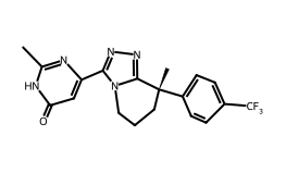 Cc1nc(-c2nnc3n2CCC[C@@]3(C)c2ccc(C(F)(F)F)cc2)cc(=O)[nH]1